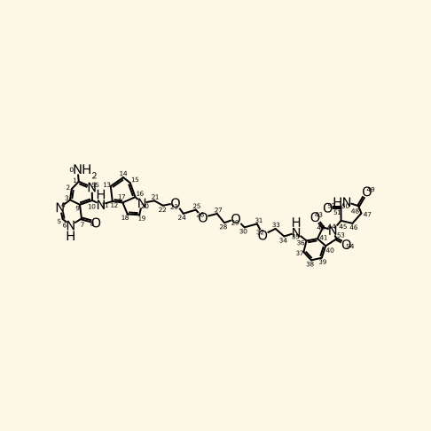 Nc1cc2nc[nH]c(=O)c2c(Nc2cccc3c2ccn3CCOCCOCCOCCOCCNc2cccc3c2C(=O)N(C2CCC(=O)NC2=O)C3=O)n1